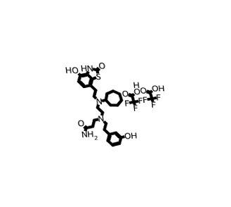 NC(=O)CCN(CCc1cccc(O)c1)CCN(CCc1ccc(O)c2[nH]c(=O)sc12)C1CCCCCC1.O=C(O)C(F)(F)F.O=C(O)C(F)(F)F